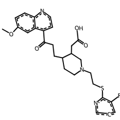 COc1ccc2nccc(C(=O)CCC3CCN(CCSc4ncccc4F)CC3CC(=O)O)c2c1